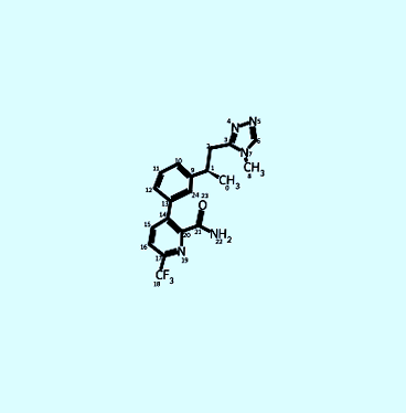 C[C@H](Cc1nncn1C)c1cccc(-c2ccc(C(F)(F)F)nc2C(N)=O)c1